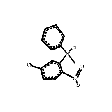 C[N+](Cl)(c1ccccc1)c1cc(Cl)ccc1[N+](=O)[O-]